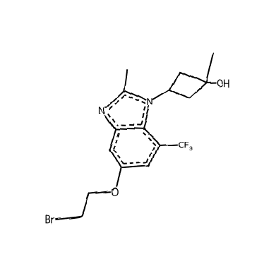 Cc1nc2cc(OCCBr)cc(C(F)(F)F)c2n1C1CC(C)(O)C1